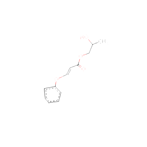 CC(O)COC(=O)C=COc1ccccc1